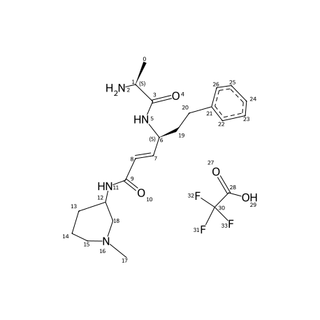 C[C@H](N)C(=O)N[C@H](C=CC(=O)NC1CCCN(C)C1)CCc1ccccc1.O=C(O)C(F)(F)F